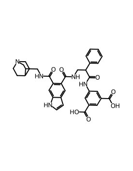 O=C(O)c1cc(NC(=O)C(CNC(=O)c2cc3cc[nH]c3cc2C(=O)NCC2CN3CCC2CC3)c2ccccc2)cc(C(=O)O)c1